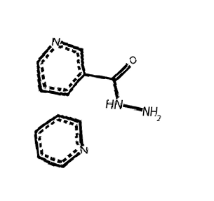 NNC(=O)c1cccnc1.c1ccncc1